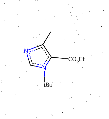 CCOC(=O)c1c(C)ncn1C(C)(C)C